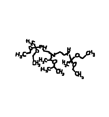 CCOC(C)(OCC)PCCN(CCPC(C)(OCC)OCC)C(C)OC(C)C